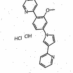 COc1cc(-n2ccc(-c3ccccn3)c2)ccc1-c1ccccn1.Cl.Cl